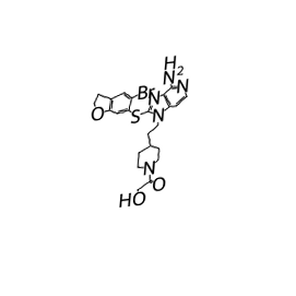 Nc1nccc2c1nc(Sc1cc3c(cc1Br)CCO3)n2CCC1CCN(C(=O)CO)CC1